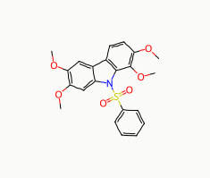 COc1cc2c3ccc(OC)c(OC)c3n(S(=O)(=O)c3ccccc3)c2cc1OC